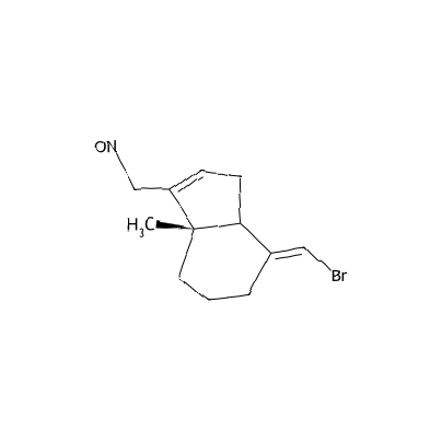 C[C@]12CCC/C(=C\Br)C1CC=C2CN=O